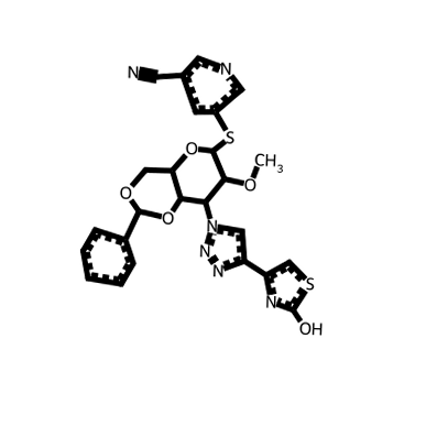 COC1C(Sc2cncc(C#N)c2)OC2COC(c3ccccc3)OC2C1n1cc(-c2csc(O)n2)nn1